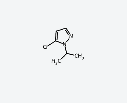 CC(C)n1nccc1Cl